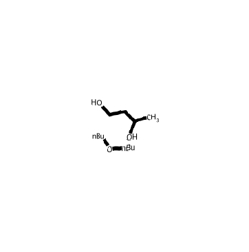 CC(O)CCO.CCCCOCCCC